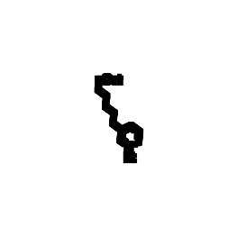 CCCCCCCCCCCCCc1ccc[n+](CC)c1